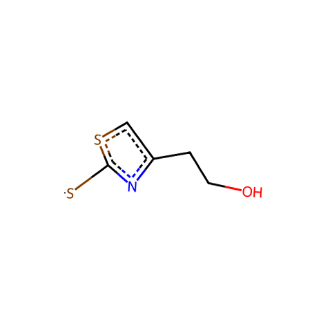 OCCc1csc([S])n1